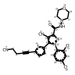 [C-]#[N+]CCC#Cc1ccc(-c2c([N+]#[C-])c(C(=O)NN3CCOCC3)nn2-c2ccc(Cl)cc2Cl)s1